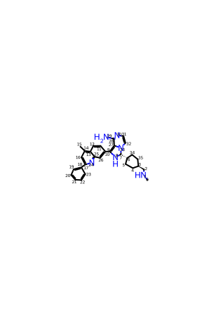 CNC[C@H]1CC[C@H](C2NC(c3ccc4c(C)cc(-c5ccccc5)nc4c3)=C3C(N)=NC=CN32)CC1